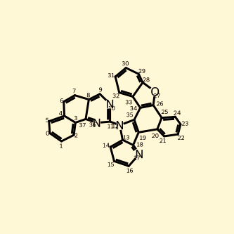 c1ccc2c(c1)ccc1cnc(-n3c4cccnc4c4c5ccccc5c5oc6ccccc6c5c43)nc12